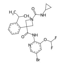 CC(C)c1ccccc1C1(C(=O)Nc2ncc(Br)cc2OC(F)F)CN(C(=O)NC2CC2)C1